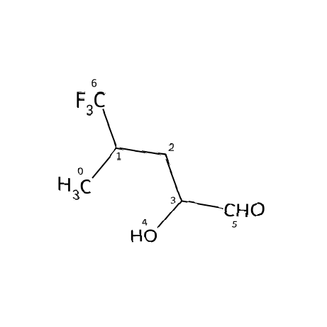 CC(CC(O)C=O)C(F)(F)F